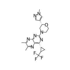 Cc1nc2nc(N3CCO[C@@H](c4cnn(C)c4)C3)nc([C@@H]3CC3C(F)(F)F)c2nc1C